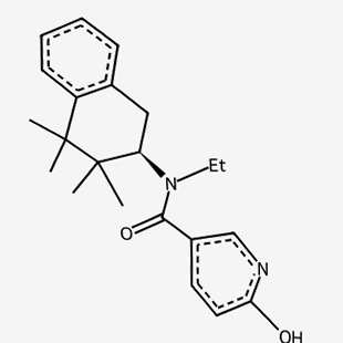 CCN(C(=O)c1ccc(O)nc1)[C@@H]1Cc2ccccc2C(C)(C)C1(C)C